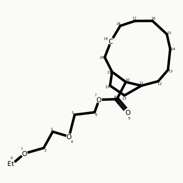 CCOCCOCCOC(=O)C1C2CCCCCCCCCC1CC2